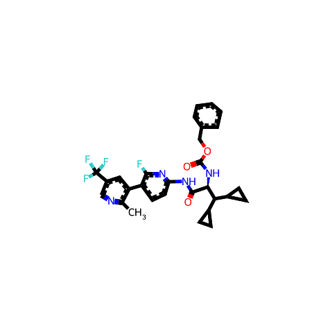 Cc1ncc(C(F)(F)F)cc1-c1ccc(NC(=O)[C@@H](NC(=O)OCc2ccccc2)C(C2CC2)C2CC2)nc1F